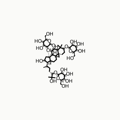 C[C@H](CC[C@H](O[C@@H]1O[C@H](CO)[C@@H](O)[C@H](O)[C@H]1O)C(C)(C)O)[C@H]1[C@@H](O)C[C@@]2(C)[C@@H]3C[C@H](O[C@@H]4O[C@H](CO)[C@@H](O)[C@H](O)[C@H]4O)[C@H]4C(C)(C)[C@@H](O[C@@H]5O[C@H](CO)[C@@H](O)[C@H](O)[C@H]5O)CC[C@@]45C[C@@]35CC[C@]12C